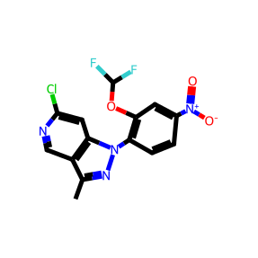 Cc1nn(-c2ccc([N+](=O)[O-])cc2OC(F)F)c2cc(Cl)ncc12